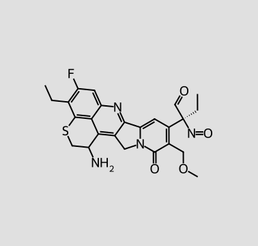 CCc1c(F)cc2nc3c(c4c2c1SCC4N)Cn1c-3cc([C@](C=O)(CC)N=O)c(COC)c1=O